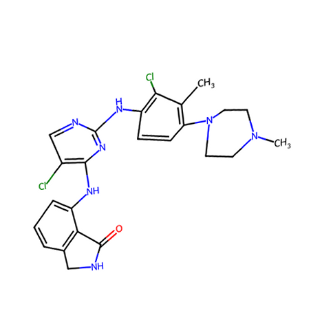 Cc1c(N2CCN(C)CC2)ccc(Nc2ncc(Cl)c(Nc3cccc4c3C(=O)NC4)n2)c1Cl